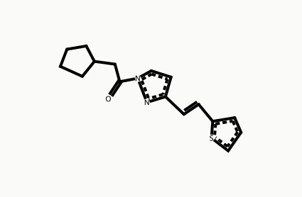 O=C(CC1CCCC1)n1ccc(/C=C/c2cccs2)n1